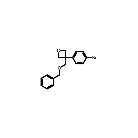 Brc1ccc(C2(COCc3ccccc3)COC2)cc1